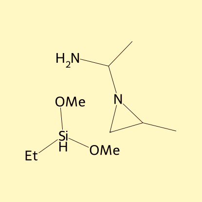 CC(N)N1CC1C.CC[SiH](OC)OC